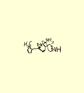 Cn1cccc1-c1ccc(C2(C(N)=O)CCNCC2)cn1